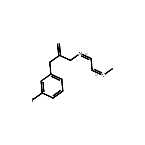 C=C(C/N=C\C=N/C)Cc1cccc(I)c1